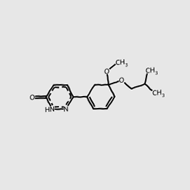 COC1(OCC(C)C)C=CC=C(c2ccc(=O)[nH]n2)C1